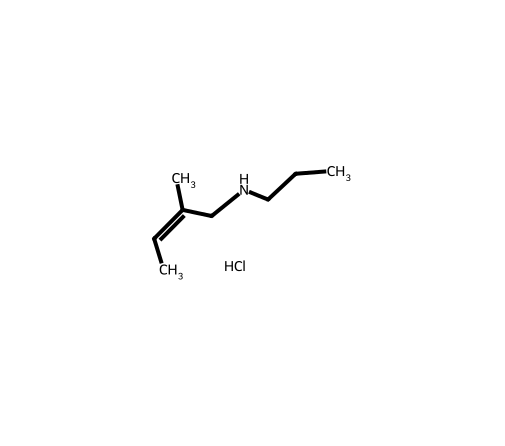 CC=C(C)CNCCC.Cl